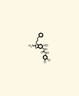 Cl.Nc1nc2cc(NC(=O)Nc3ccc(Cl)c(Cl)c3)ccc2n1CCCc1ccccc1